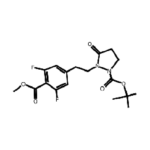 COC(=O)c1c(F)cc(CCN2C(=O)CCN2C(=O)OC(C)(C)C)cc1F